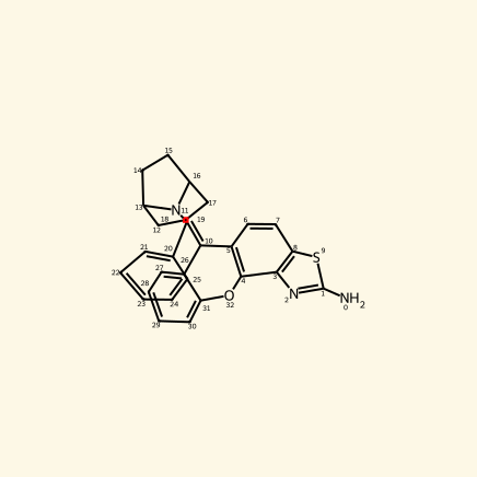 Nc1nc2c3c(ccc2s1)C(=C1CC2CCC(C1)N2Cc1ccccc1)c1ccccc1O3